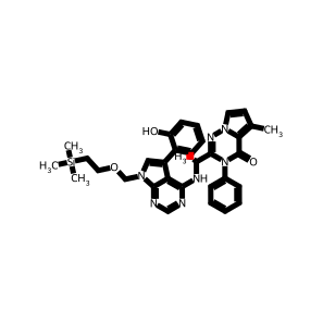 Cc1ccn2nc(C(C)Nc3ncnc4c3c(-c3ccccc3O)cn4COCC[Si](C)(C)C)n(-c3ccccc3)c(=O)c12